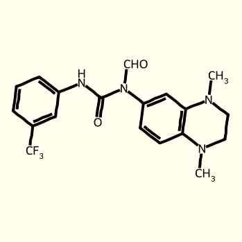 CN1CCN(C)c2cc(N(C=O)C(=O)Nc3cccc(C(F)(F)F)c3)ccc21